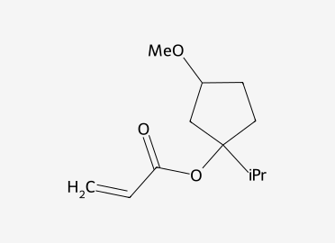 C=CC(=O)OC1(C(C)C)CCC(OC)C1